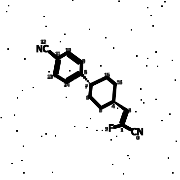 N#CC(F)=C[C@H]1CC[C@H](c2ccc(C#N)cc2)CC1